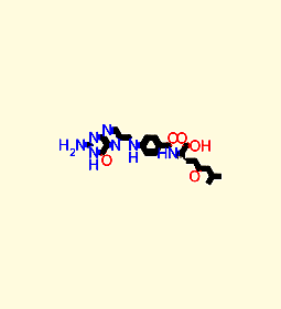 CC(C)CC(=O)CC[C@H](NC(=O)c1ccc(NCc2cnc3nc(N)[nH]c(=O)c3n2)cc1)C(=O)O